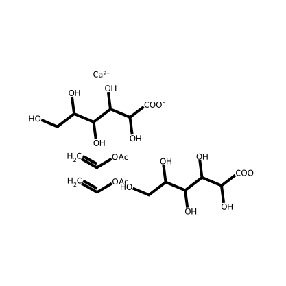 C=COC(C)=O.C=COC(C)=O.O=C([O-])C(O)C(O)C(O)C(O)CO.O=C([O-])C(O)C(O)C(O)C(O)CO.[Ca+2]